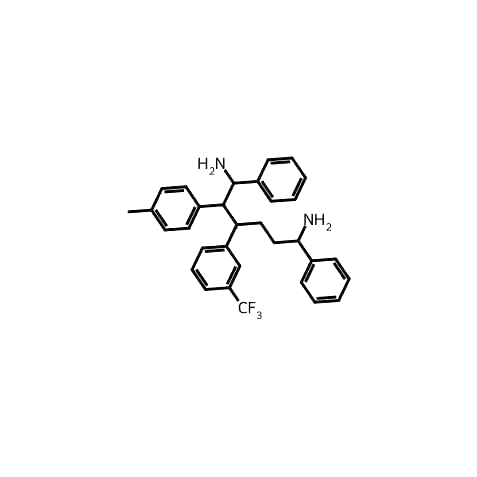 Cc1ccc(C([C](CCC(N)c2ccccc2)c2cccc(C(F)(F)F)c2)C(N)c2ccccc2)cc1